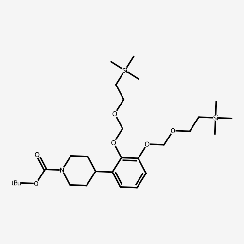 CC(C)(C)OC(=O)N1CCC(c2cccc(OCOCC[Si](C)(C)C)c2OCOCC[Si](C)(C)C)CC1